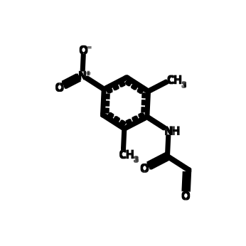 Cc1cc([N+](=O)[O-])cc(C)c1NC(=O)C=O